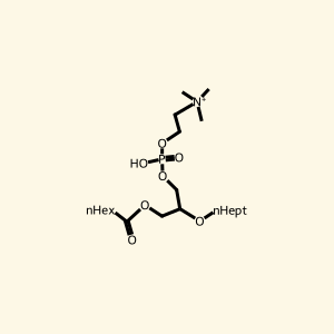 CCCCCCCOC(COC(=O)CCCCCC)COP(=O)(O)OCC[N+](C)(C)C